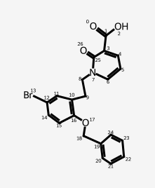 O=C(O)c1cccn(CCc2cc(Br)ccc2OCc2ccccc2)c1=O